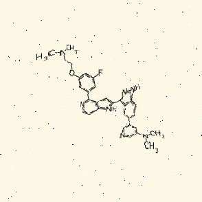 CN(C)CCOc1cc(F)cc(-c2nccc3[nH]c(-c4n[nH]c5ccc(-c6cncc(N(C)C)c6)cc45)cc23)c1